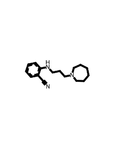 N#Cc1ccccc1NCCCN1CCCCCC1